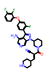 N#CC(=CC1CCNCC1)C(=O)N1CCCC(n2nc(-c3ccc(Oc4cccc(F)c4F)cc3F)c3c(N)cncc32)C1